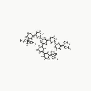 CP(C)c1cccc(-c2cccc(-c3nc(-c4cccc(-c5cccc(P(C)(C)=O)c5)c4)nc(-c4cccc(-c5cccc(P(C)(C)=O)c5)c4)n3)c2)c1